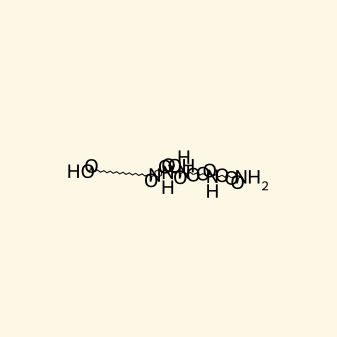 NC(=O)COCCOCCNC(=O)COCCOCCNC(=O)CCC(NC(=O)C1CCN(C(=O)CCCCCCCCCCCCCCCCCCC(=O)O)CC1)C(=O)O